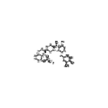 CCc1cc(Cc2ccc(F)c(C(=O)N3CCC(N4CCc5ccccc5C4OC(=O)C(F)(F)F)CC3)c2)n[nH]c1=O